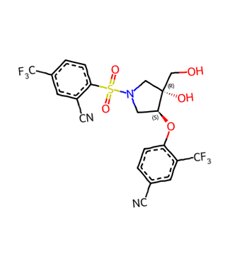 N#Cc1ccc(O[C@H]2CN(S(=O)(=O)c3ccc(C(F)(F)F)cc3C#N)C[C@@]2(O)CO)c(C(F)(F)F)c1